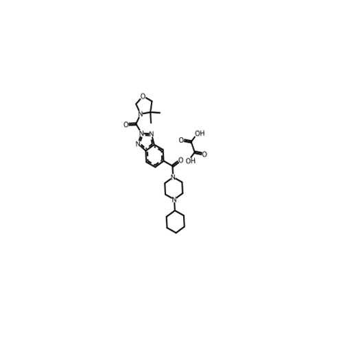 CC1(C)COCN1C(=O)n1nc2ccc(C(=O)N3CCN(C4CCCCC4)CC3)cc2n1.O=C(O)C(=O)O